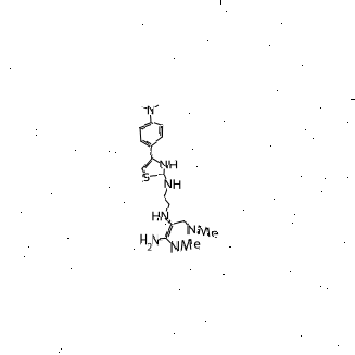 CNC/C(NCCNC1NC(c2ccc(N(C)C)cc2)=CS1)=C(/N)NC